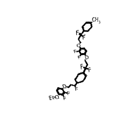 CCOc1ccc(OCCC(F)C2CCC(C(F)(F)CCOc3ccc(OCCC(F)(F)C4CCC(C)CC4)c(F)c3F)CC2)c(F)c1F